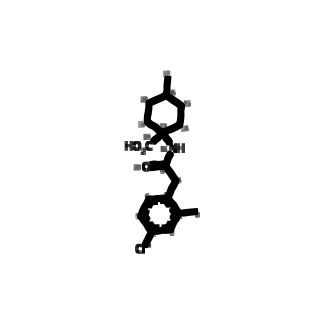 Cc1cc(Cl)ccc1CC(=O)NC1(C(=O)O)CCC(C)CC1